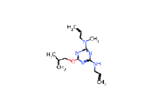 C=CCNc1nc(OCC(=C)C)nc(N(C)CC=C)n1